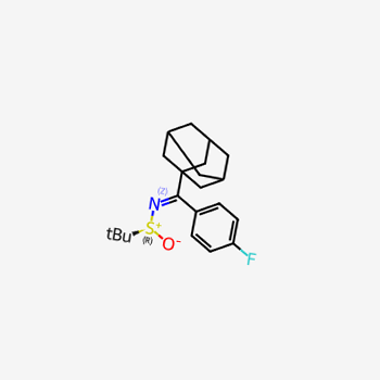 CC(C)(C)[S@+]([O-])/N=C(\c1ccc(F)cc1)C12CC3CC(CC(C3)C1)C2